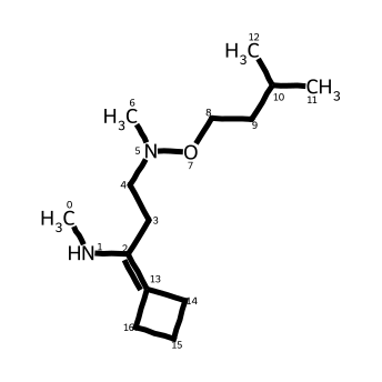 CNC(CCN(C)OCCC(C)C)=C1CCC1